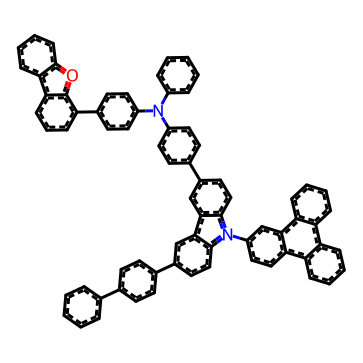 c1ccc(-c2ccc(-c3ccc4c(c3)c3cc(-c5ccc(N(c6ccccc6)c6ccc(-c7cccc8c7oc7ccccc78)cc6)cc5)ccc3n4-c3ccc4c5ccccc5c5ccccc5c4c3)cc2)cc1